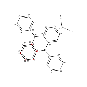 F[B]F.c1ccc(P(c2ccccc2)c2ccccc2P(c2ccccc2)c2ccccc2)cc1